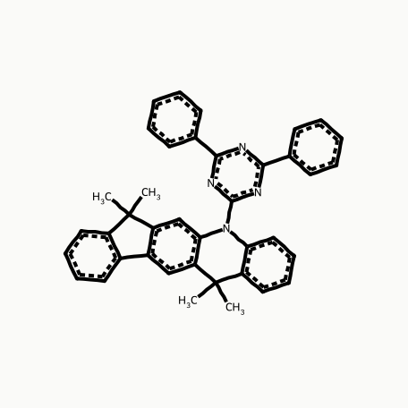 CC1(C)c2ccccc2-c2cc3c(cc21)N(c1nc(-c2ccccc2)nc(-c2ccccc2)n1)c1ccccc1C3(C)C